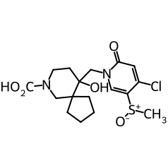 C[S+]([O-])c1cn(CC2(O)CCN(C(=O)O)CC23CCCC3)c(=O)cc1Cl